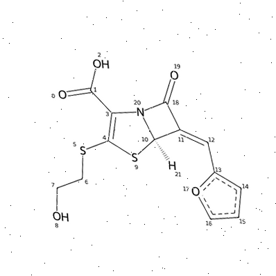 O=C(O)C1=C(SCCO)S[C@@H]2C(=Cc3ccco3)C(=O)N12